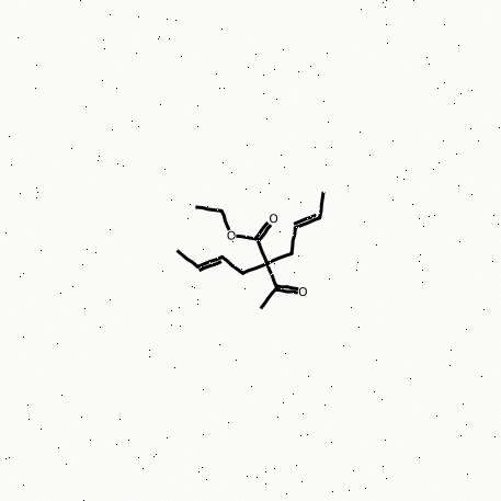 CC=CCC(CC=CC)(C(C)=O)C(=O)OCC